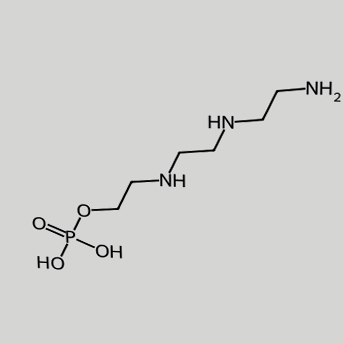 NCCNCCNCCOP(=O)(O)O